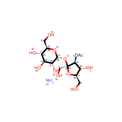 CC(=O)O[C@H]1[C@H](O)[C@@H](CO)O[C@@]1(CO)O[C@H]1O[C@H](CO)[C@@H](O)[C@H](O)[C@H]1O.N